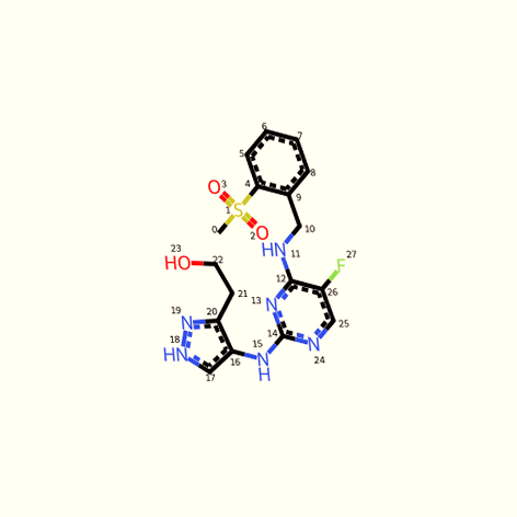 CS(=O)(=O)c1ccccc1CNc1nc(Nc2c[nH]nc2CCO)ncc1F